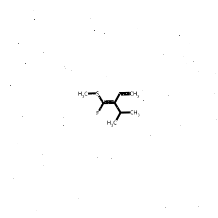 C=C/C(=C(/F)SC)C(C)C